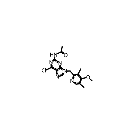 COc1c(C)cnc(Cn2cnc3c(Cl)nc(NC(C)=O)nc32)c1C